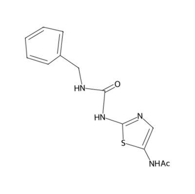 CC(=O)Nc1cnc(NC(=O)NCc2ccccc2)s1